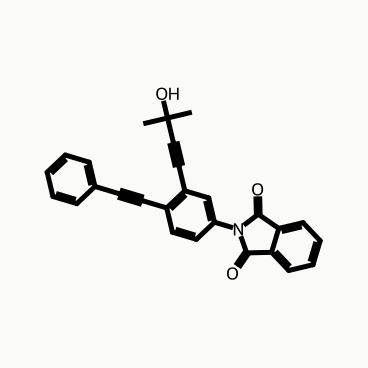 CC(C)(O)C#Cc1cc(N2C(=O)c3ccccc3C2=O)ccc1C#Cc1ccccc1